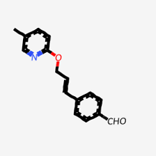 Cc1ccc(OCC=Cc2ccc(C=O)cc2)nc1